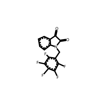 O=C1C(=O)N(Cc2c(F)c(F)c(F)c(F)c2F)c2ccccc21